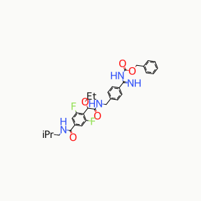 CCOC(C(=O)NCc1ccc(C(=N)NC(=O)OCc2ccccc2)cc1)c1c(F)cc(C(=O)NCC(C)C)cc1F